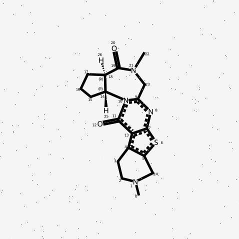 CN1CCc2c(sc3nc4n(c(=O)c23)[C@@H]2CCC[C@H]2C(=O)N(C)C4)C1